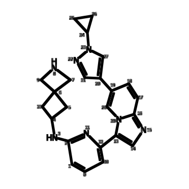 c1cc(NC2CC3(CNC3)C2)nc(-c2cnc3ccc(-c4cnn(C5CC5)c4)cn23)c1